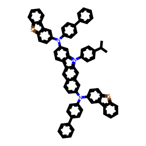 CC(C)c1ccc(-n2c3cc(N(c4ccc(-c5ccccc5)cc4)c4ccc5sc6ccccc6c5c4)ccc3c3cc4ccc(N(c5ccc(-c6ccccc6)cc5)c5ccc6sc7ccccc7c6c5)cc4cc32)cc1